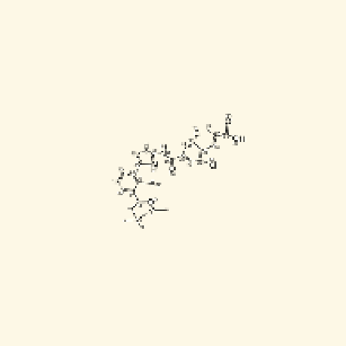 CCOC(CC(C)(C)C)c1cccc(-c2csc(NC(=O)c3cc(Cl)c(/C=C(\C)C(=O)O)c(Cl)c3)n2)c1F